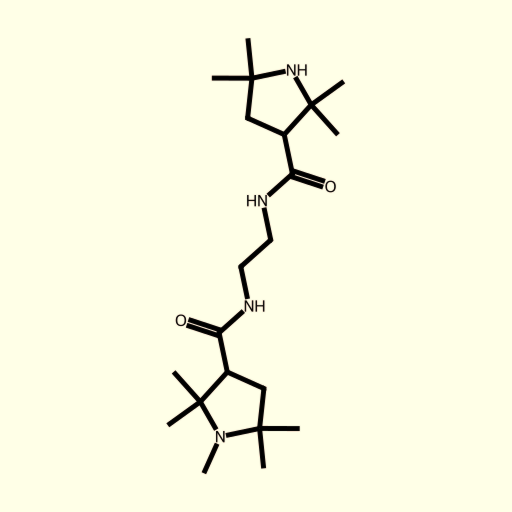 CN1C(C)(C)CC(C(=O)NCCNC(=O)C2CC(C)(C)NC2(C)C)C1(C)C